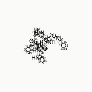 CC(C)[C@@H](CC(=O)N(C)CCc1ccccc1)NC(=O)C[C@H](CCCCN)NC(=O)[C@@H](Cc1c[nH]c2ccccc12)NC(=O)C[C@H](Cc1ccccc1)NC(=O)CCc1ccccc1